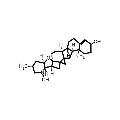 C[C@H]1C[C@H]2O[C@@]34CC[C@H]5[C@@H]6CCC7=C[C@@H](O)CC[C@]7(C)[C@H]6CC56CC63C[C@@H]4[C@@H]2N(O)C1